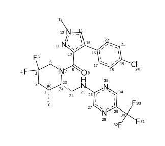 C[C@@H]1CC(F)(F)CN(C(=O)c2nn(C)cc2-c2ccc(Cl)cc2)[C@@H]1CNc1cnc(C(F)(F)F)cn1